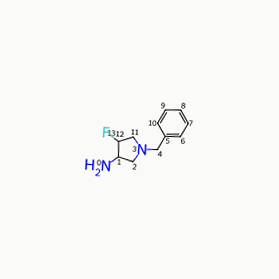 NC1CN(Cc2ccccc2)CC1F